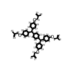 C=C(C)COc1ccc(C(c2ccc(OCC(=C)C)cc2)c2ccc(C(c3ccc(OCC(=C)C)cc3)c3ccc(OCC(=C)C)cc3)cc2)cc1